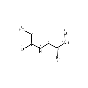 CCNC(CC)CNC(CC)CO